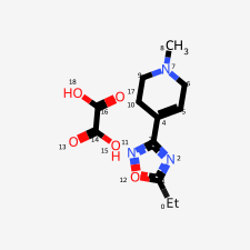 CCc1nc(C2=CCN(C)CC2)no1.O=C(O)C(=O)O